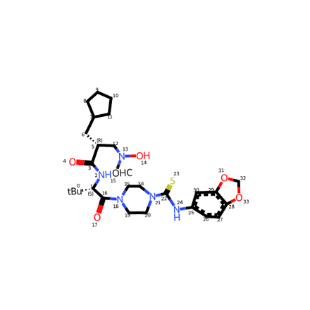 CC(C)(C)[C@H](NC(=O)[C@H](CC1CCCC1)CN(O)C=O)C(=O)N1CCN(C(=S)Nc2ccc3c(c2)OCO3)CC1